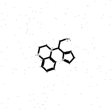 NCC(C1=CCC=N1)N1CCOc2ccccc21